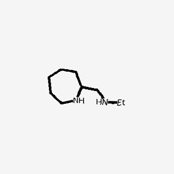 CCNCC1CCCCCN1